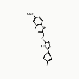 COc1ccc(NC(=O)CSc2nnc(-c3ccc(C)cc3)[nH]2)c(C)c1